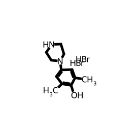 Br.Br.Cc1cc(N2CCNCC2)cc(C)c1O